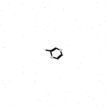 IC1=COC=CO1